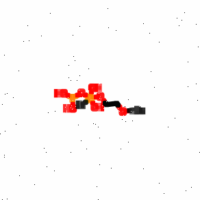 CCCCOCCOP(O)(O)(CC)OP(O)O